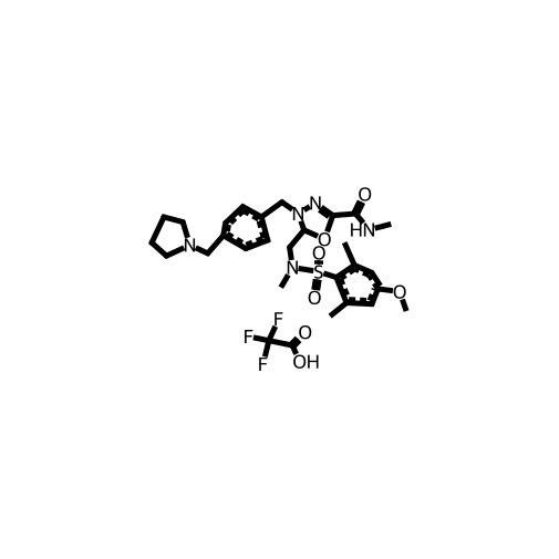 CNC(=O)C1=NN(Cc2ccc(CN3CCCC3)cc2)C(CN(C)S(=O)(=O)c2c(C)cc(OC)cc2C)O1.O=C(O)C(F)(F)F